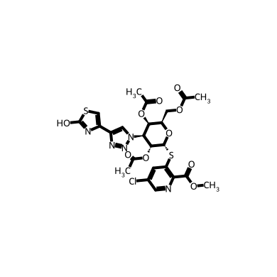 COC(=O)c1ncc(Cl)cc1S[C@H]1O[C@H](COC(C)=O)[C@H](OC(C)=O)[C@H](n2cc(-c3csc(O)n3)nn2)[C@H]1OC(C)=O